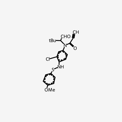 C#CC(=O)N(c1ccc(NSc2ccc(OC)cc2)c(Cl)c1)C(C=O)C(C)(C)C